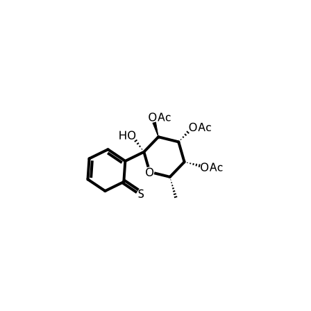 CC(=O)O[C@@H]1[C@H](OC(C)=O)[C@H](C)O[C@@](O)(C2=CC=CCC2=S)[C@H]1OC(C)=O